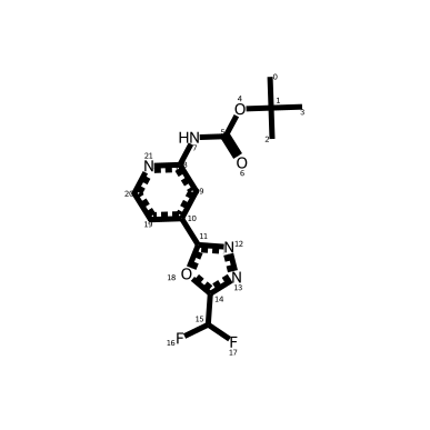 CC(C)(C)OC(=O)Nc1cc(-c2nnc(C(F)F)o2)ccn1